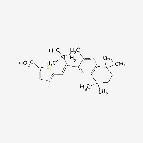 Cc1cc2c(cc1/C(=C/c1ccc(C(=O)O)s1)[Si](C)(C)C)C(C)(C)CCC2(C)C